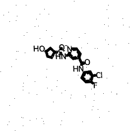 O=C(Nc1ccc(F)c(Cl)c1)c1ccnc(N[S+]([O-])C2CCC(O)C2)c1